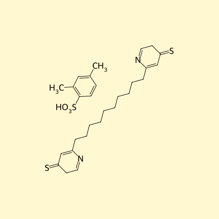 Cc1ccc(S(=O)(=O)O)c(C)c1.S=C1C=C(CCCCCCCCCCC2=CC(=S)CC=N2)N=CC1